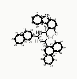 Clc1ccc2oc3ccccc3c2c1C1NC(c2ccc3ccccc3c2)NC(c2cc3ccccc3c3ccccc23)N1